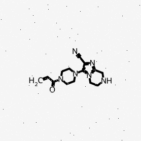 C=CC(=O)N1CCN(c2c(C#N)nc3n2CCNC3)CC1